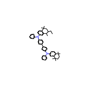 CCC1CC(C)(C)c2ccc(N(c3ccccc3)c3ccc(-c4ccc(N(c5ccccc5)c5ccc6c(c5)C(C)(C)CCC6(C)C)cc4)cc3)cc2C1C